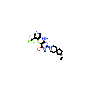 C=C[C@H]1CCC2(CCN(c3nc(N)c(Sc4ccncc4C(F)(F)F)c(=O)n3C)CC2)C1